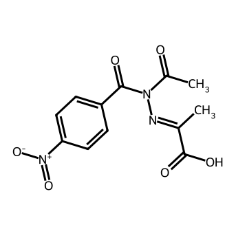 CC(=O)N(N=C(C)C(=O)O)C(=O)c1ccc([N+](=O)[O-])cc1